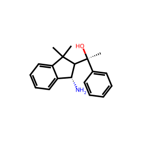 CC1(C)c2ccccc2[C@@H](N)C1[C@@](C)(O)c1ccccc1